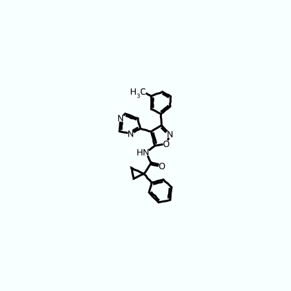 Cc1cccc(-c2noc(NC(=O)C3(c4ccccc4)CC3)c2-c2ccncn2)c1